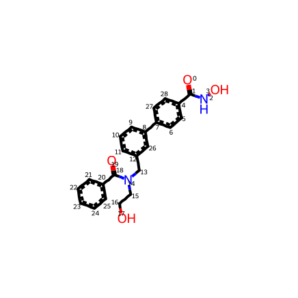 O=C(NO)c1ccc(-c2cccc(CN(CCO)C(=O)c3ccccc3)c2)cc1